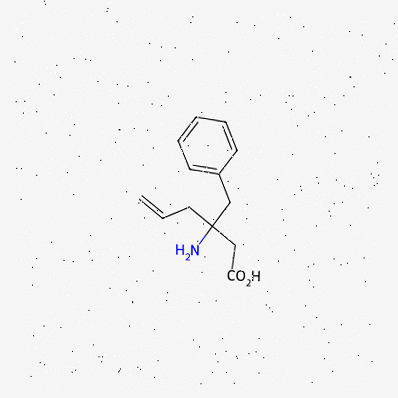 C=CCC(N)(CC(=O)O)Cc1ccccc1